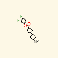 CCCC1CCC(C2CCC(C(=O)Oc3ccc(F)c(F)c3)CC2)CC1